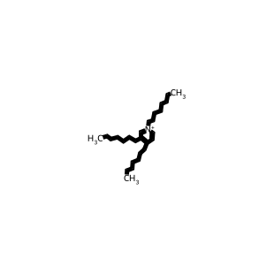 CCCCCCCC[n+]1ccc(CCCCCCC)c(CCCCCCC)c1